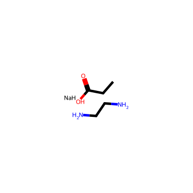 CCC(=O)O.NCCN.[NaH]